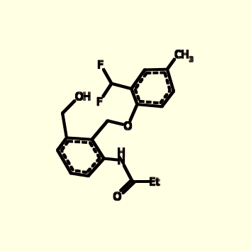 CCC(=O)Nc1cccc(CO)c1COc1ccc(C)cc1C(F)F